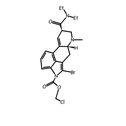 CCN(CC)C(=O)[C@@H]1C=C2c3cccc4c3c(c(Br)n4C(=O)OCCl)C[C@H]2N(C)C1